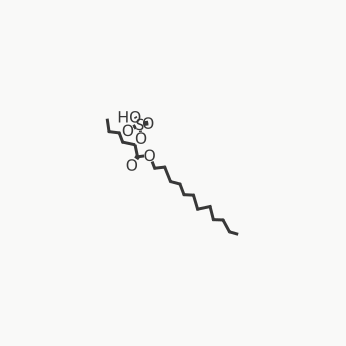 CCCCCCCCCCCCOC(=O)C(CCCC)OS(=O)(=O)O